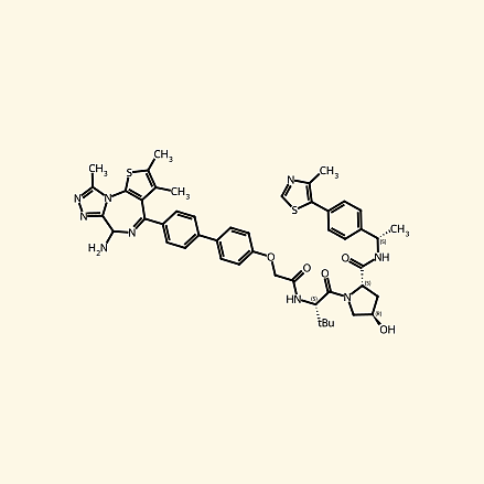 Cc1ncsc1-c1ccc([C@H](C)NC(=O)[C@@H]2C[C@@H](O)CN2C(=O)[C@@H](NC(=O)COc2ccc(-c3ccc(C4=NC(N)c5nnc(C)n5-c5sc(C)c(C)c54)cc3)cc2)C(C)(C)C)cc1